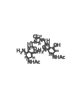 CC(=O)Nc1cc(N)c(NC(=O)Cn2cc[n+](CC(=O)Nc3c(N)cc(NC(C)=O)cc3O)c2)c(O)c1.[Cl-]